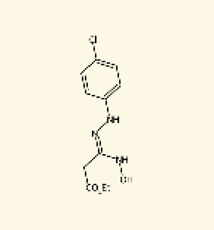 CCOC(=O)CC(=NNc1ccc(Cl)cc1)NO